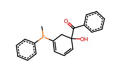 CP(C1=CC=CC(O)(C(=O)c2ccccc2)C1)c1ccccc1